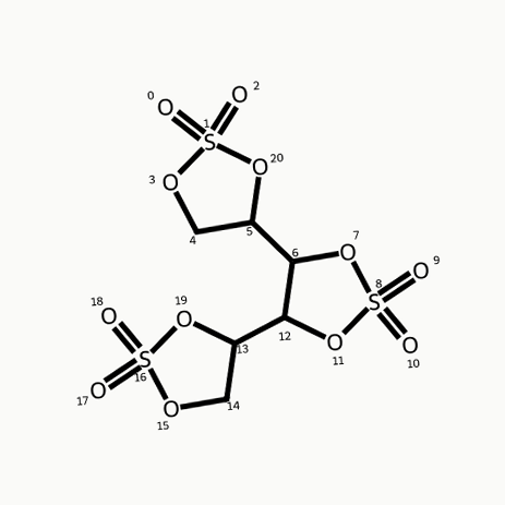 O=S1(=O)OCC(C2OS(=O)(=O)OC2C2COS(=O)(=O)O2)O1